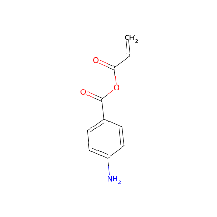 C=CC(=O)OC(=O)c1ccc(N)cc1